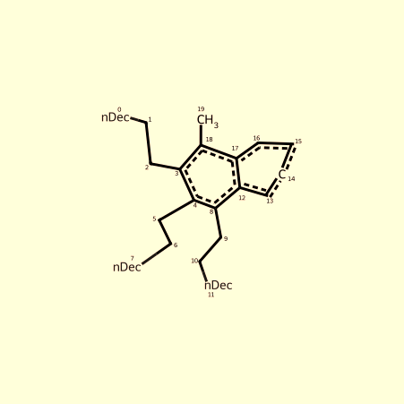 CCCCCCCCCCCCc1c(CCCCCCCCCCCC)c(CCCCCCCCCCCC)c2ccccc2c1C